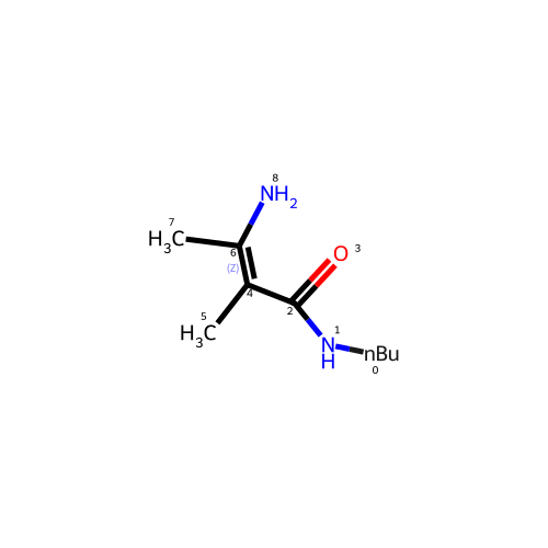 CCCCNC(=O)/C(C)=C(/C)N